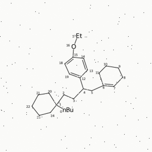 CCCCC1(CCC(CC2=CCCCC2)c2ccc(OCC)cc2)CCCCC1